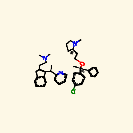 CC(C1=C(CCN(C)C)Cc2ccccc21)c1ccccn1.CN1CCC[C@@H]1CCO[C@](C)(c1ccccc1)c1ccc(Cl)cc1